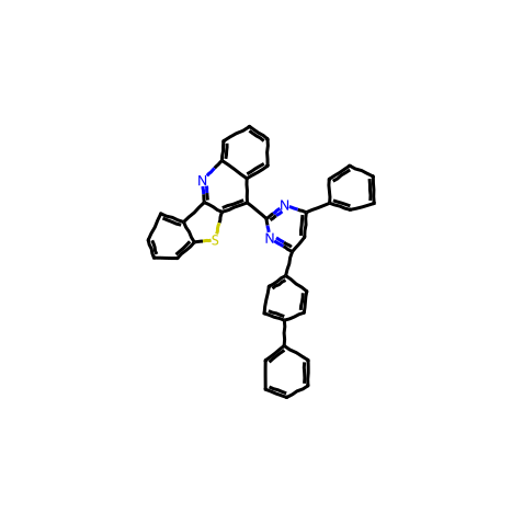 c1ccc(-c2ccc(-c3cc(-c4ccccc4)nc(-c4c5ccccc5nc5c4sc4ccccc45)n3)cc2)cc1